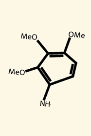 COc1ccc([NH])c(OC)c1OC